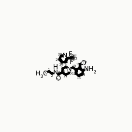 CCCNC(=O)C1CCN(Cc2cccc(N)c2C=O)CC1.FC(F)(F)c1ccccn1